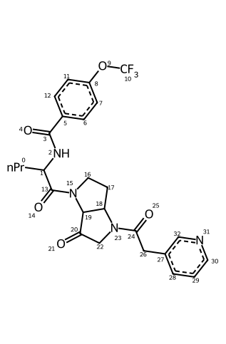 CCCC(NC(=O)c1ccc(OC(F)(F)F)cc1)C(=O)N1CCC2C1C(=O)CN2C(=O)Cc1cccnc1